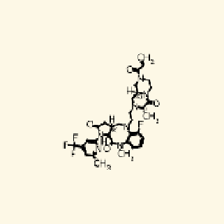 C=CC(=O)N1CCN2C(=O)[C@@H](C)N(CCN3C[C@H]4CC(=O)N(c5cc(C(F)(F)F)cc(C)n5)[C@@H]4C(=O)N(C)c4cccc(F)c43)C[C@@H]2C1